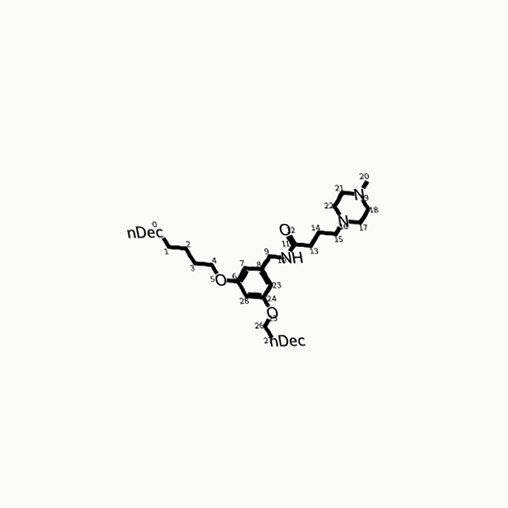 CCCCCCCCCCCCCCOc1cc(CNC(=O)CCCN2CCN(C)CC2)cc(OCCCCCCCCCCC)c1